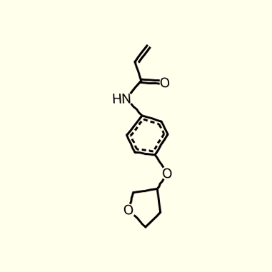 C=CC(=O)Nc1ccc(OC2CCOC2)cc1